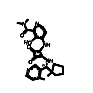 Cc1ccncc1[C@H](Nc1c(Nc2ccnc(C(=O)N(C)C)c2O)c(=O)c1=O)C1(C)CCCC1